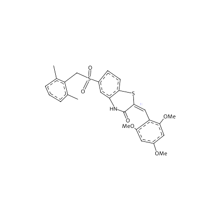 COc1cc(OC)c(/C=C2/Sc3ccc(S(=O)(=O)Cc4c(C)cccc4C)cc3NC2=O)c(OC)c1